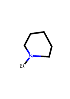 CCN1C[CH]CCC1